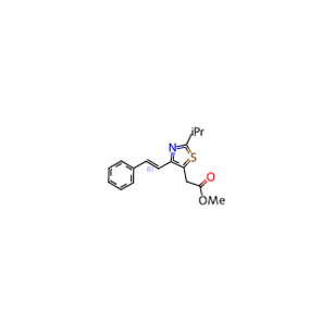 COC(=O)Cc1sc(C(C)C)nc1/C=C/c1ccccc1